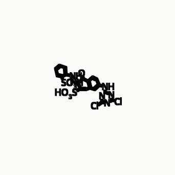 O=C1/C(=N\Nc2ccccc2S(=O)(=O)O)C(S(=O)(=O)O)=Cc2cc(Nc3nc(Cl)nc(Cl)n3)ccc21